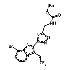 CC(C)(C)OC(=O)NCc1nc(-c2nc3c(Br)cccn3c2SC(F)(F)F)no1